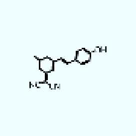 CC1CC(/C=C/c2ccc(O)cc2)=CC(=C(C#N)C#N)C1